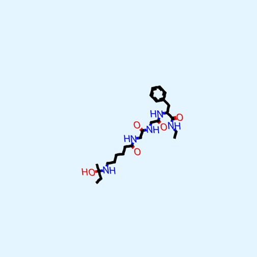 CCNC(=O)C(Cc1ccccc1)NC(=O)CNC(=O)CNC(=O)CCCCCNC(C)(O)CC